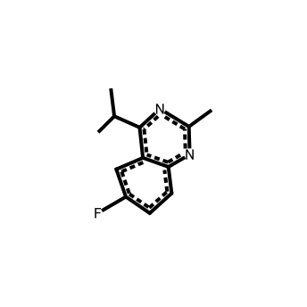 Cc1nc(C(C)C)c2cc(F)ccc2n1